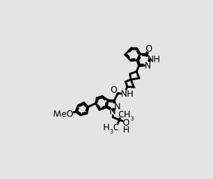 COc1ccc(-c2ccc3c(C(=O)NC4CC5(C4)CC(c4n[nH]c(=O)c6ccccc46)C5)nn(CC(C)(C)O)c3c2)cc1